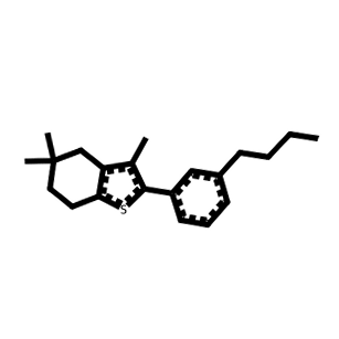 CCCCc1cccc(-c2sc3c(c2C)CC(C)(C)CC3)c1